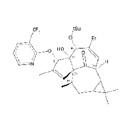 CCC1=C[C@@H]2C(=O)[C@]3(C=C(C)[C@H](Oc4ncccc4C(F)(F)F)[C@@]3(O)[C@@H]1OC(C)(C)C)[C@H](C)CC1C2C1(C)C